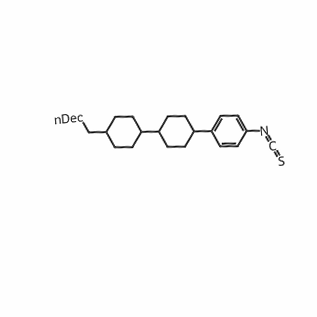 CCCCCCCCCCCC1CCC(C2CCC(c3ccc(N=C=S)cc3)CC2)CC1